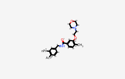 CCCc1cc(CNC(=O)c2ccc(C)c(OCCN3CCOCC3)c2)ccc1C(C)=O